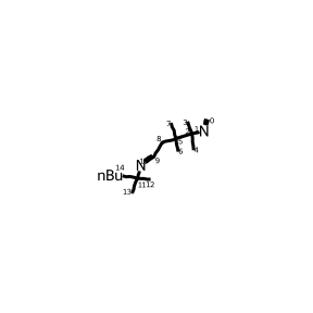 C=NC(C)(C)C(C)(C)C/C=N/C(C)(C)CCCC